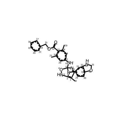 CC1=C2NOC(Nc3cc(C)c(C(=O)OCc4ccccc4)c(C)c3)(N=C1)N2c1ccc2c(c1)NCO2